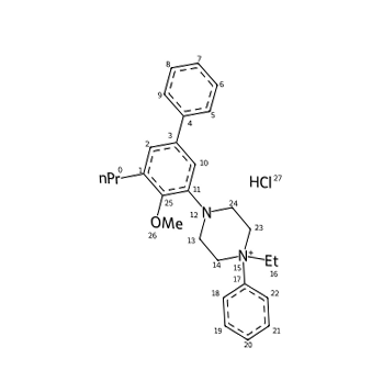 CCCc1cc(-c2ccccc2)cc(N2CC[N+](CC)(c3ccccc3)CC2)c1OC.Cl